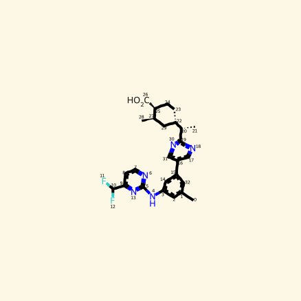 Cc1cc(Nc2nccc(C(F)F)n2)cc(-c2cnc([C@@H](C)[C@H]3CC[C@H](C(=O)O)[C@H](C)C3)nc2)c1